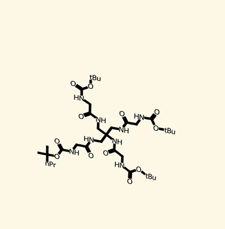 CCCC(C)(C)OC(=O)NCC(=O)NCC(CNC(=O)CNC(=O)OC(C)(C)C)(CNC(=O)CNC(=O)OC(C)(C)C)NC(=O)CNC(=O)OC(C)(C)C